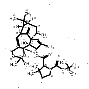 CC1=C[C@]23C(=O)[C@@H](C=C4COC(C)(C)O[C@H]4[C@]2(O)[C@H]1OC(=O)C1N(C(=O)OC(C)(C)C)CCC1(C)C)[C@H]1[C@@H](C[C@H]3C)C1(C)C